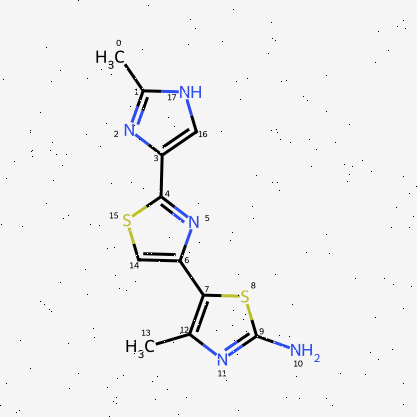 Cc1nc(-c2nc(-c3sc(N)nc3C)cs2)c[nH]1